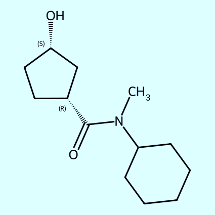 CN(C(=O)[C@@H]1CC[C@H](O)C1)C1CCCCC1